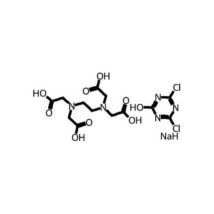 O=C(O)CN(CCN(CC(=O)O)CC(=O)O)CC(=O)O.Oc1nc(Cl)nc(Cl)n1.[NaH]